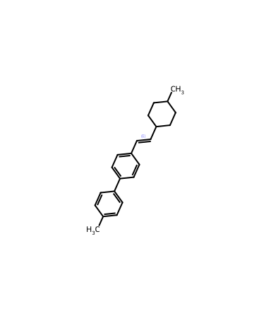 Cc1ccc(-c2ccc(/C=C/C3CCC(C)CC3)cc2)cc1